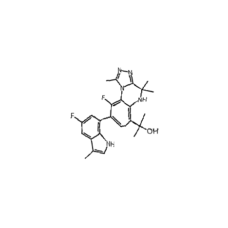 Cc1c[nH]c2c(-c3cc(C(C)(C)O)c4c(c3F)-n3c(C)nnc3C(C)(C)N4)cc(F)cc12